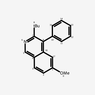 COc1ccc2cnc(C(C)(C)C)c(-c3ccccc3)c2c1